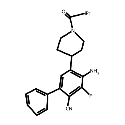 CC(C)C(=O)N1CCC(c2cc(-c3ccccc3)c(C#N)c(F)c2N)CC1